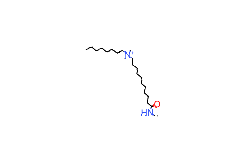 [CH2]NC(=O)CCCCCCCCCC[N+](C)(C)CCCCCCCC